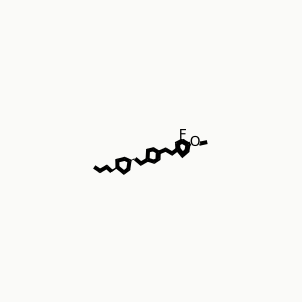 CCCC[C@H]1CC[C@H](CCC2CC=C(CCc3ccc(OCC)c(F)c3)CC2)CC1